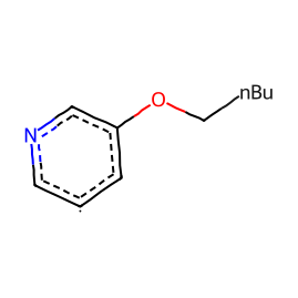 CCCCCOc1c[c]cnc1